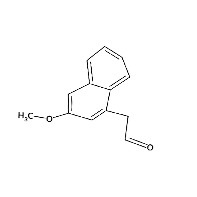 COc1cc(CC=O)c2ccccc2c1